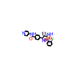 CCC(C(=N)S(=O)(=O)c1ccccc1F)C(N)c1ccc(C(=O)Nc2ccncc2)cc1